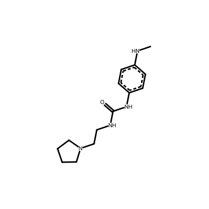 CNc1ccc(NC(=O)NCCN2CCCC2)cc1